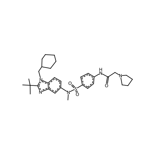 CN(c1ccc2c(c1)nc(C(C)(C)C)n2CC1CCCCC1)S(=O)(=O)c1ccc(NC(=O)CN2CCCC2)cc1